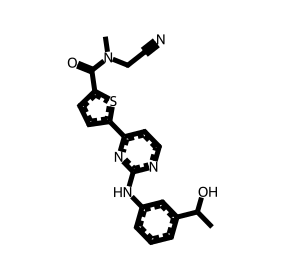 CC(O)c1cccc(Nc2nccc(-c3ccc(C(=O)N(C)CC#N)s3)n2)c1